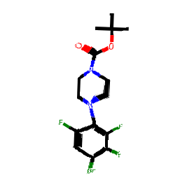 CC(C)(C)OC(=O)N1CCN(c2c(F)cc(Br)c(F)c2F)CC1